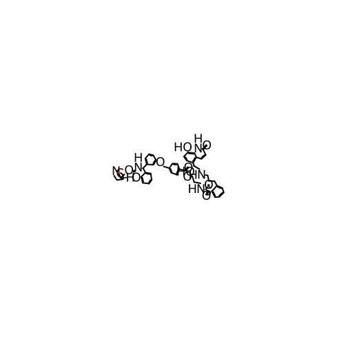 O=C(N[C@@H](c1ccccc1)c1cccc(OCc2ccc(C(=O)OCCCNS(=O)(=O)c3ccccc3CCCNC[C@H](O)c3ccc(O)c4[nH]c(=O)ccc34)cc2)c1)O[C@H]1CN2CCC1CC2